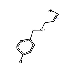 S/C=C\CNCc1ccc(Cl)nc1